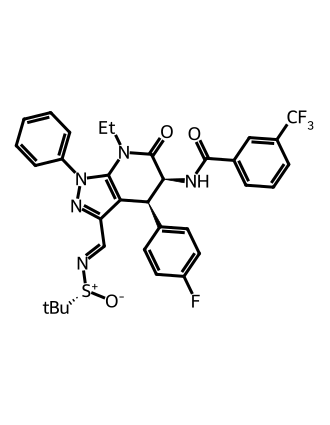 CCN1C(=O)[C@@H](NC(=O)c2cccc(C(F)(F)F)c2)[C@@H](c2ccc(F)cc2)c2c(/C=N/[S@+]([O-])C(C)(C)C)nn(-c3ccccc3)c21